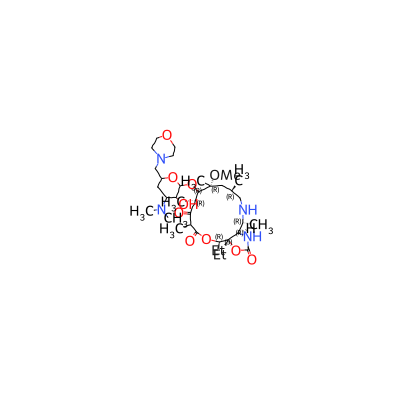 CC[C@H]1OC(=O)C(C)C(=O)[C@H](C)[C@@H](OC2OC(CN3CCOCC3)CC(N(C)C)C2O)[C@](C)(OC)C[C@@H](C)CN[C@H](C)[C@H]2NC(=O)O[C@@]21CC